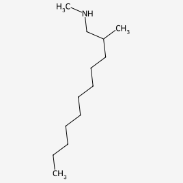 CCCCCCCCCC(C)CNC